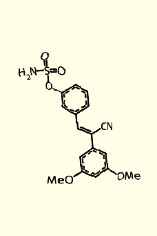 COc1cc(OC)cc(C(C#N)=Cc2cccc(OS(N)(=O)=O)c2)c1